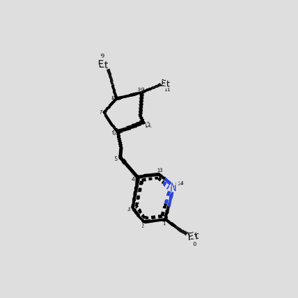 CCc1ccc(CC2CC(CC)C(CC)C2)cn1